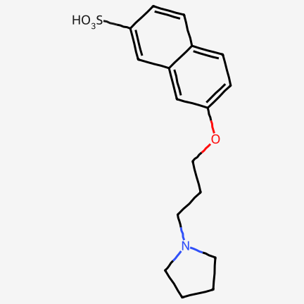 O=S(=O)(O)c1ccc2ccc(OCCCN3CCCC3)cc2c1